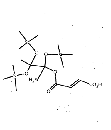 CC(O[Si](C)(C)C)(O[Si](C)(C)C)C([SiH3])(OC(=O)/C=C/C(=O)O)O[Si](C)(C)C